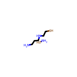 NCCCNCCS.NS